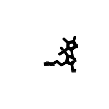 CCCCCCCCCCCCc1c(Br)sc2c1[Si](C)(C)c1c-2sc(C)c1C